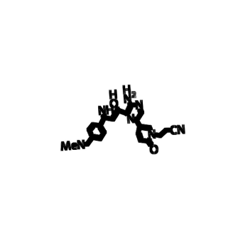 CNCc1ccc(C(=N)/C=C(\O)c2nc(-c3ccc(=O)n(CCC#N)c3)cnc2N)cc1